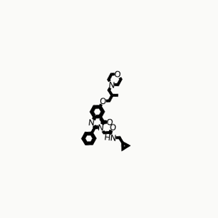 CC(COc1ccc2nc(-c3ccccc3)n(CC(=O)NCC3CC3)c(=O)c2c1)CN1CCOCC1